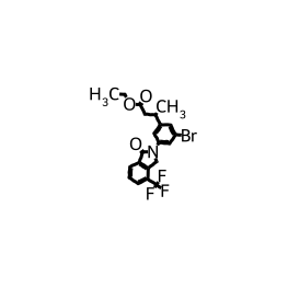 CCOC(=O)CC(C)c1cc(Br)cc(N2Cc3c(cccc3C(F)(F)F)C2=O)c1